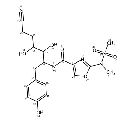 CN(c1nc(C(=O)NC(Cc2ccc(O)cc2)C(O)C(O)CCC#N)co1)S(C)(=O)=O